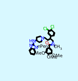 CCCCCn1c(NC2CCN(CCC(CN(C)C(=O)c3cc(OC)c(OC)c(OC)c3)c3ccc(Cl)c(Cl)c3)CC2)nc2ccccc21